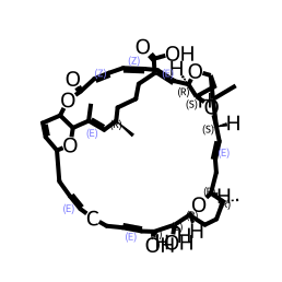 C/C(=C\[C@H](C)CCCCC(=O)O)C1OC2C=CC1OC(=O)\C=C/C=C\C=C\[C@H]1OC3C[C@@H]1O[C@@H](/C=C/C[C@H]1O[C@H](CC[C@H]1C)[C@@H](O)[C@@H](O)/C=C/CC/C=C/C2)C3C